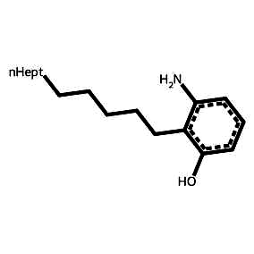 CCCCCCCCCCCCc1c(N)cccc1O